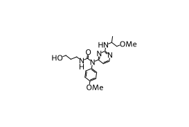 COCC(C)Nc1nccc(N(C(=O)NCCCO)c2ccc(OC)cc2)n1